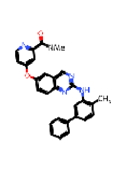 CNC(=O)c1cc(Oc2ccc3nc(Nc4cc(-c5ccccc5)ccc4C)ncc3c2)ccn1